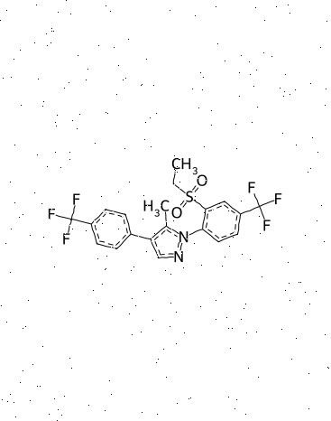 CCS(=O)(=O)c1cc(C(F)(F)F)ccc1-n1ncc(-c2ccc(C(F)(F)F)cc2)c1C